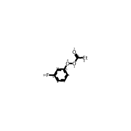 CCC(=O)OOc1cccc(F)c1